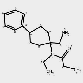 CCC(=O)N(CC)C1(CN)CCC(c2ccccc2)CC1